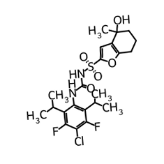 CC(C)c1c(F)c(Cl)c(F)c(C(C)C)c1NC(=O)NS(=O)(=O)c1cc2c(o1)CCCC2(C)O